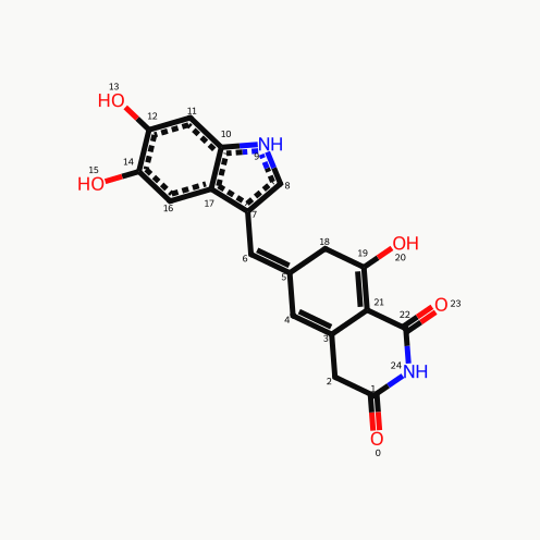 O=C1CC2=CC(=Cc3c[nH]c4cc(O)c(O)cc34)CC(O)=C2C(=O)N1